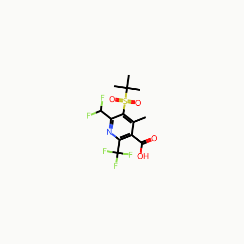 Cc1c(C(=O)O)c(C(F)(F)F)nc(C(F)F)c1S(=O)(=O)C(C)(C)C